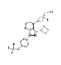 OCC1(F)CN(c2ccnc3c2c(C2CCC2)nn3-c2ccc(OC(F)(F)F)cc2)C1